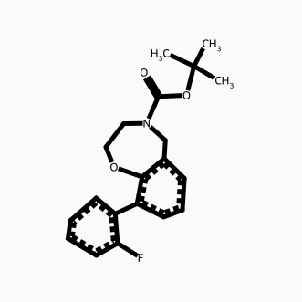 CC(C)(C)OC(=O)N1CCOc2c(cccc2-c2ccccc2F)C1